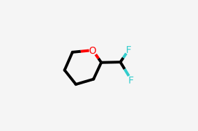 FC(F)C1CCCCO1